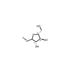 OC[C@H]1OC(OF)[C@@H](O)[C@@H]1O